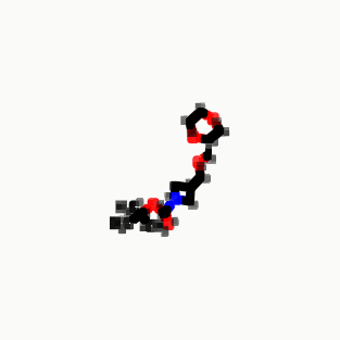 CC(C)(C)OC(=O)N1CC(COC[C@H]2COCCO2)C1